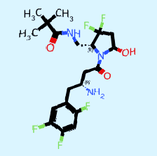 CC(C)(C)C(=O)NC[C@H]1N(C(=O)C[C@H](N)Cc2cc(F)c(F)cc2F)C(O)CC1(F)F